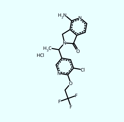 CC(c1cnc(OCC(F)(F)F)c(Cl)c1)N1Cc2c(ccnc2N)C1=O.Cl